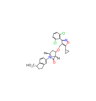 O=C(O)C1CCc2cc(N3C(=O)[C@@H]4C[C@H]3C[C@H]4OCc3c(-c4c(Cl)cccc4Cl)noc3C3CC3)ccc21